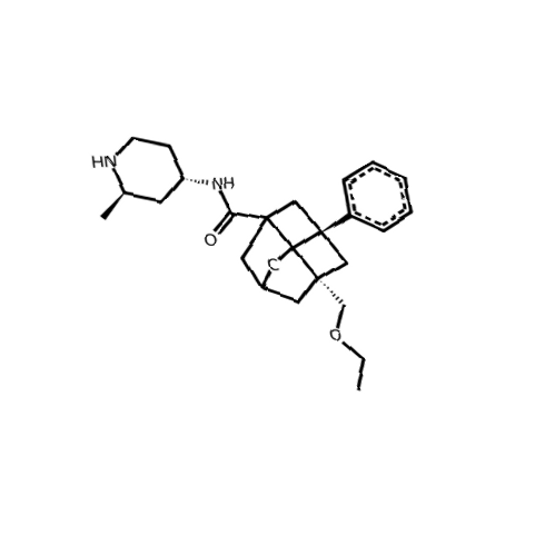 CCOC[C@@]12CC3CC4(C(=O)N[C@H]5CCN[C@H](C)C5)C[C@](c5ccccc5)(C1)C42C3